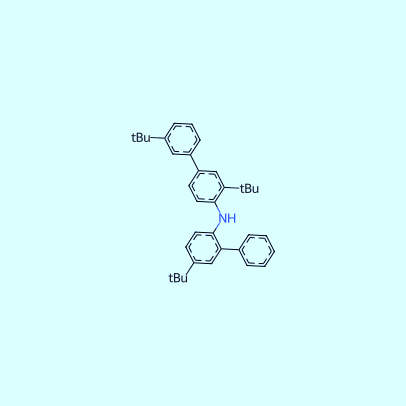 CC(C)(C)c1cccc(-c2ccc(Nc3ccc(C(C)(C)C)cc3-c3ccccc3)c(C(C)(C)C)c2)c1